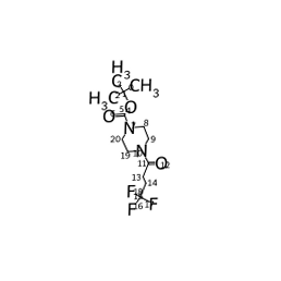 CC(C)(C)OC(=O)N1CCN(C(=O)CCC(F)(F)F)CC1